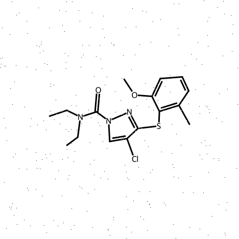 CCN(CC)C(=O)n1cc(Cl)c(Sc2c(C)cccc2OC)n1